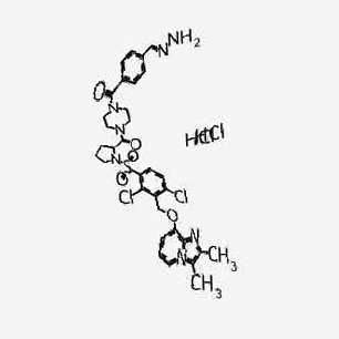 Cc1nc2c(OCc3c(Cl)ccc(S(=O)(=O)N4CCC[C@H]4C(=O)N4CCN(C(=O)c5ccc(C=NN)cc5)CC4)c3Cl)cccn2c1C.Cl.Cl